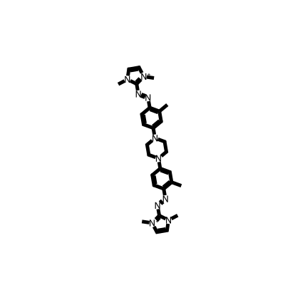 Cc1cc(N2CCN(c3ccc(N=Nc4n(C)cc[n+]4C)c(C)c3)CC2)ccc1N=Nc1n(C)cc[n+]1C